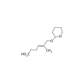 C/C(=C\CCC(=O)O)COC1CCCCO1